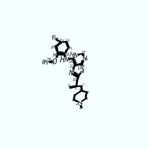 C=C(CC1CCN(C)CC1)c1nc2c(s1)=NCNC=2Nc1ccc(F)cc1OC(C)C